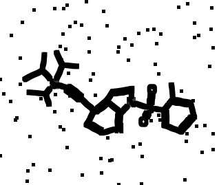 Cc1ccccc1S(=O)(=O)n1ccc2c(C#C[Si](C(C)C)(C(C)C)C(C)C)ccnc21